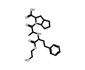 CC(NC(CCc1ccccc1)C(=O)OCCO)C(=O)N1C(C(=O)O)CC2CCCC21